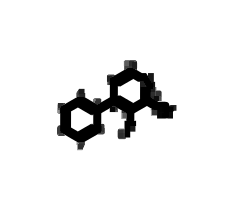 Fc1c(-c2ccccc2)ccnc1Br